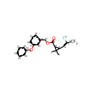 CC1(C)C(C=C(F)C(F)(F)F)C1C(=O)OCc1cccc(Oc2ccccc2)c1